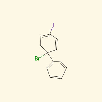 BrC1(c2ccccc2)C=CC(I)=CC1